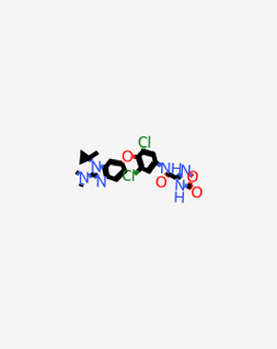 CN(C)c1nc2ccc(Oc3c(Cl)cc(NC(=O)c4noc(=O)[nH]4)cc3Cl)cc2n1C1(C)CC1